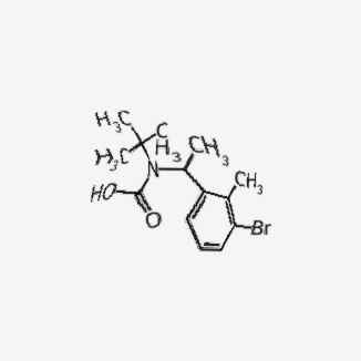 Cc1c(Br)cccc1C(C)N(C(=O)O)C(C)(C)C